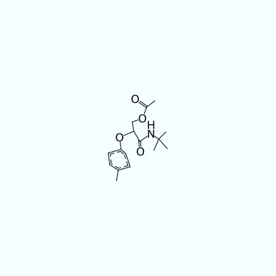 CC(=O)OCC(Oc1ccc(C)cc1)C(=O)NC(C)(C)C